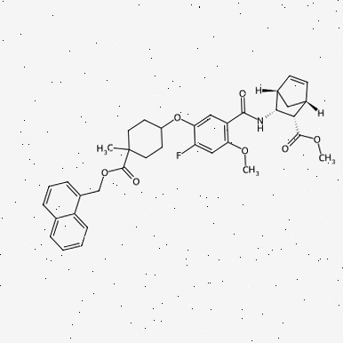 COC(=O)[C@@H]1[C@H](NC(=O)c2cc(OC3CCC(C)(C(=O)OCc4cccc5ccccc45)CC3)c(F)cc2OC)[C@@H]2C=C[C@H]1C2